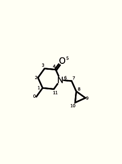 CC1CCC(=O)N(CC2CC2)C1